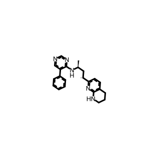 C[C@@H](C[CH]c1ccc2c(n1)NCCC2)Nc1ncncc1-c1ccccc1